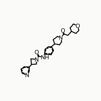 O=C(CC1CCOCC1)N1CCC(c2ccc(NC(=O)N3CC(c4cccnc4)C3)cc2)CC1